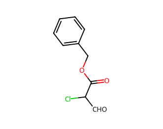 O=CC(Cl)C(=O)OCc1ccccc1